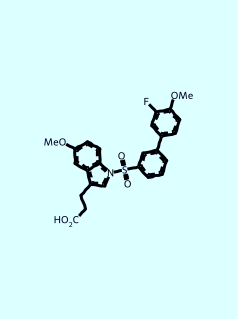 COc1ccc2c(c1)c(CCC(=O)O)cn2S(=O)(=O)c1cccc(-c2ccc(OC)c(F)c2)c1